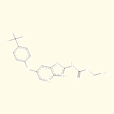 CCOC(=O)Nc1nc2cc(Sc3ccc(C(F)(F)F)cc3)cnc2[nH]1